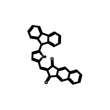 O=C1C(=Cc2ccc(-n3c4ccccc4c4ccccc43)[se]2)C(=O)c2cc3ccccc3cc21